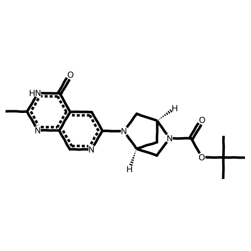 Cc1nc2cnc(N3C[C@@H]4C[C@H]3CN4C(=O)OC(C)(C)C)cc2c(=O)[nH]1